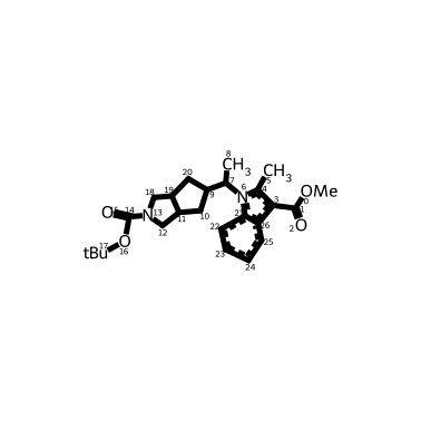 COC(=O)c1c(C)n(C(C)C2CC3CN(C(=O)OC(C)(C)C)CC3C2)c2ccccc12